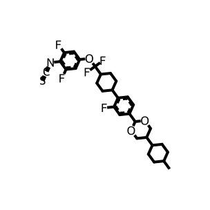 CC1CCC(C2COC(c3ccc(C4CCC(C(F)(F)Oc5cc(F)c(N=C=S)c(F)c5)CC4)c(F)c3)OC2)CC1